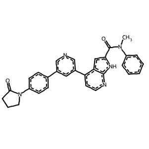 CN(C(=O)c1cc2c(-c3cncc(-c4ccc(N5CCCC5=O)cc4)c3)ccnc2[nH]1)c1ccccc1